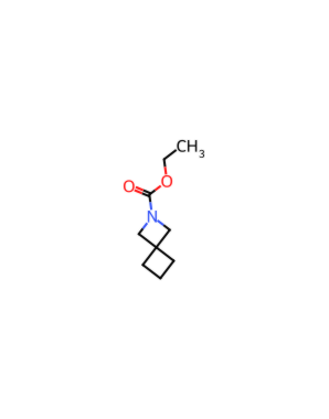 CCOC(=O)N1CC2(CCC2)C1